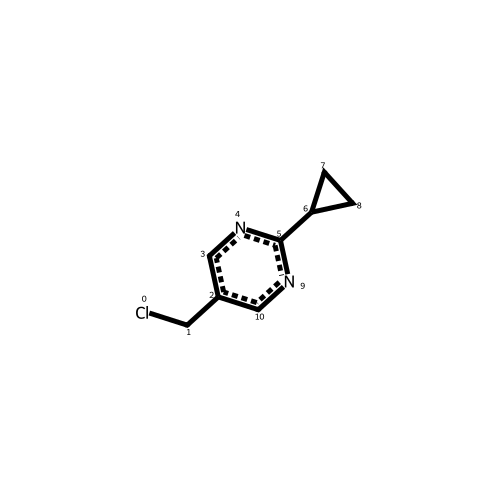 ClCc1cnc(C2CC2)nc1